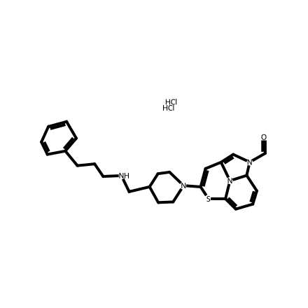 Cl.Cl.O=CN1C=C2C=C(N3CCC(CNCCCc4ccccc4)CC3)SC3=CC=CC1N23